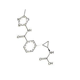 Cc1nnc(NC(=O)c2cccc([C@@H]3C[C@H]3NC(=O)O)c2)s1